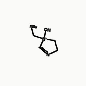 CCCCC[N+]1(O)[C]=NCC1